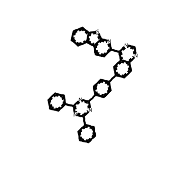 c1ccc(-c2nc(-c3ccccc3)nc(-c3ccc(-c4ccc5ncnc(-c6ccc7c(n6)sc6ccccc67)c5c4)cc3)n2)cc1